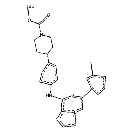 Cc1cccc(-c2cn3ccnc3c(Nc3ccc(N4CCN(C(=O)OC(C)(C)C)CC4)cc3)n2)c1